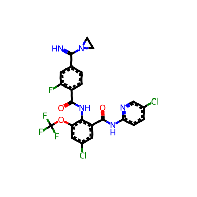 N=C(c1ccc(C(=O)Nc2c(OC(F)(F)F)cc(Cl)cc2C(=O)Nc2ccc(Cl)cn2)c(F)c1)N1CC1